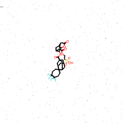 O=C1OC2C3CC(C2OC(=O)C24CC5CC(C2)C2(CCC(F)(F)C(F)(F)CC2)C(C5)C4)C(C(=O)OCCS(=O)(=O)O)C13